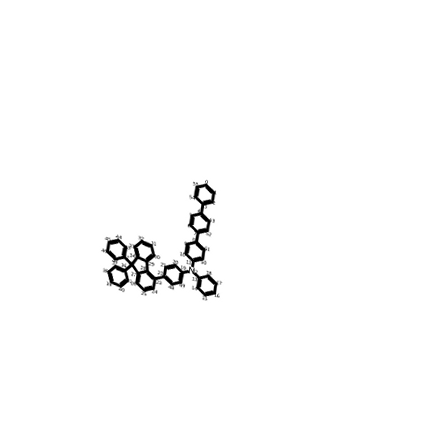 c1ccc(-c2ccc(-c3ccc(N(c4ccccc4)c4ccc(-c5cccc6c5-c5ccccc5C6(c5ccccc5)c5ccccc5)cc4)cc3)cc2)cc1